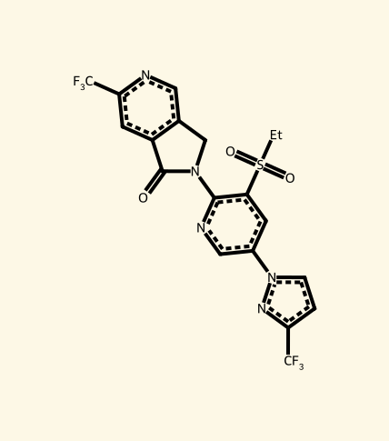 CCS(=O)(=O)c1cc(-n2ccc(C(F)(F)F)n2)cnc1N1Cc2cnc(C(F)(F)F)cc2C1=O